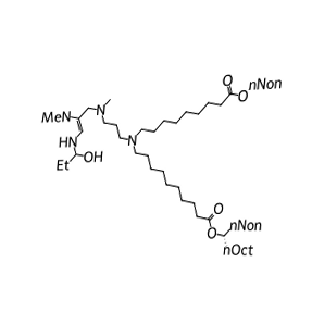 CCCCCCCCCOC(=O)CCCCCCCCN(CCCCCCCCCC(=O)O[C@@H](CCCCCCCC)CCCCCCCCC)CCCN(C)C/C(=C/NC(O)CC)NC